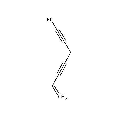 C=CC#CCC#CCC